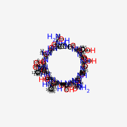 CCCC[C@H]1C(=O)N(C)[C@@H](CCCC)C(=O)N[C@@H](C)C(=O)N[C@H](C(=O)NCC(N)=O)CCCNCC(=O)N[C@@H](Cc2ccc(O)cc2)C(=O)N(C)[C@@H](C)C(=O)N[C@@H](CC(=O)O)C(=O)N2CCC[C@H]2C(=O)N[C@@H](Cc2cnc[nH]2)C(=O)N[C@@H](CCC(N)=O)C(=O)N2C[C@H](O)C[C@H]2C(=O)N[C@@H](Cc2c[nH]c3ccccc23)C(=O)N[C@@H](CO)C(=O)N[C@@H](Cc2cn(CC(=O)O)c3ccccc23)C(=O)N1C